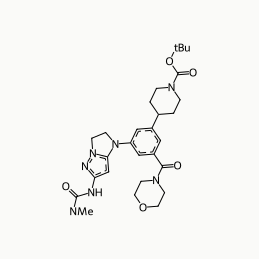 CNC(=O)Nc1cc2n(n1)CCN2c1cc(C(=O)N2CCOCC2)cc(C2CCN(C(=O)OC(C)(C)C)CC2)c1